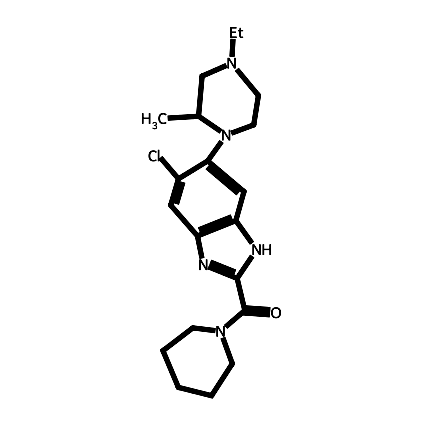 CCN1CCN(c2cc3[nH]c(C(=O)N4CCCCC4)nc3cc2Cl)C(C)C1